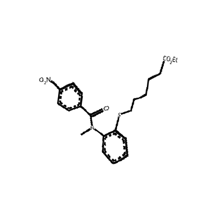 CCOC(=O)CCCCCSc1ccccc1N(C)C(=O)c1ccc([N+](=O)[O-])cc1